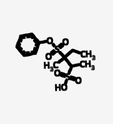 CCC(C)(C(C)S(=O)(=O)O)S(=O)(=O)Oc1ccccc1